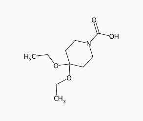 CCOC1(OCC)CCN(C(=O)O)CC1